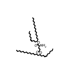 CCCCC/C=C\CCC(CCCCCCCCCCCCCC)OC(=O)CC[C@H](N)C(=O)OC(CC/C=C\CCCCC)CCCCCCCCCCCCCC